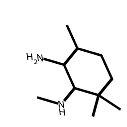 CNC1C(N)C(C)CCC1(C)C